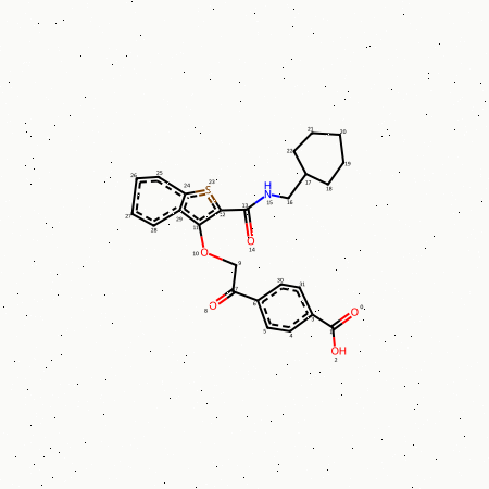 O=C(O)c1ccc(C(=O)COc2c(C(=O)NCC3CCCCC3)sc3ccccc23)cc1